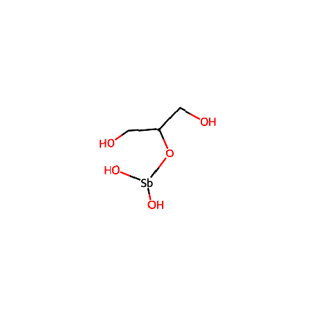 OCC(CO)[O][Sb]([OH])[OH]